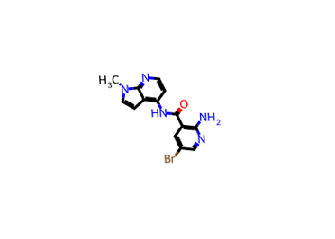 Cn1ccc2c(NC(=O)c3cc(Br)cnc3N)ccnc21